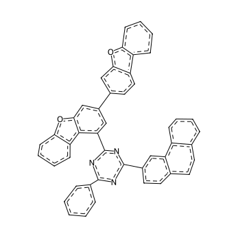 c1ccc(-c2nc(-c3ccc4ccc5ccccc5c4c3)nc(-c3cc(-c4ccc5c(c4)oc4ccccc45)cc4oc5ccccc5c34)n2)cc1